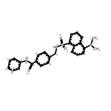 CN(C)c1cccc2c(S(=O)(=O)NCc3ccc(C(=O)Nc4cccnc4)cc3)cccc12